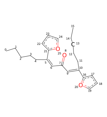 CCCCCC(=CC(=O)C=C(CCCCC)c1ccco1)c1ccco1